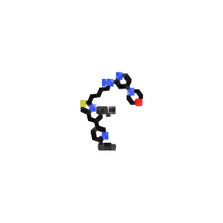 COc1ccc(C(CC(=O)O)Cc2csc(CCCCNc3cc(N4CCOCC4)ccn3)n2)cn1